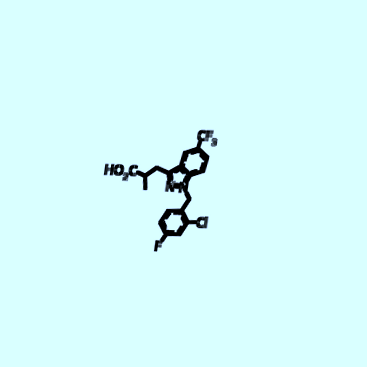 CC(Cc1nn(Cc2ccc(F)cc2Cl)c2ccc(C(F)(F)F)cc12)C(=O)O